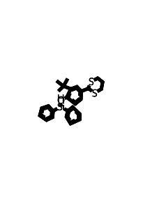 CC(C)(C)c1cc(C2SCCCS2)ccc1O[SiH](c1ccccc1)c1ccccc1